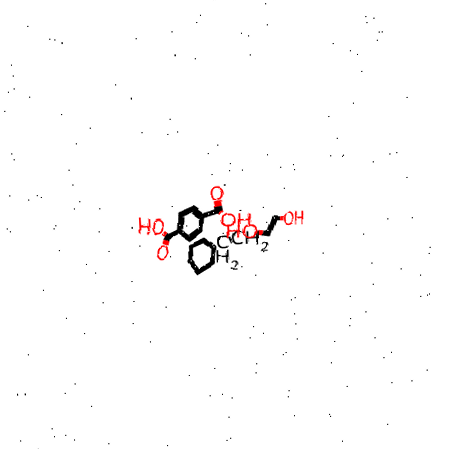 C1CCCCC1.C=C.O=C(O)c1ccc(C(=O)O)cc1.OCCO